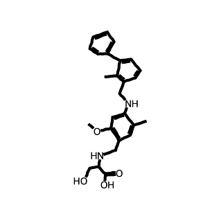 COc1cc(NCc2cccc(-c3ccccc3)c2C)c(C)cc1CNC(CO)C(=O)O